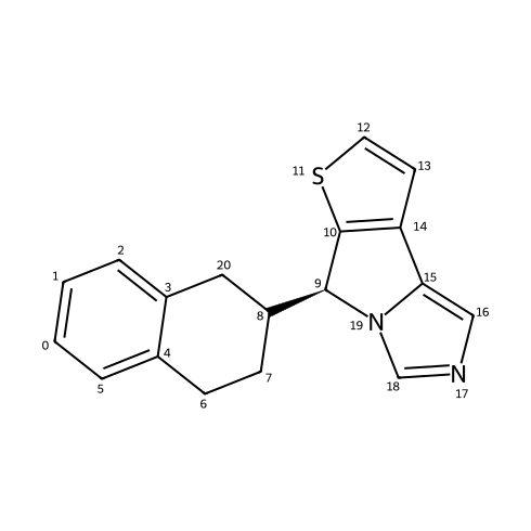 c1ccc2c(c1)CCC([C@H]1c3sccc3-c3cncn31)C2